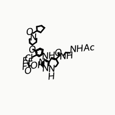 CC(=O)NCCNC(=O)C1=Cc2c(ncnc2Nc2ccc(OC3CCN(C(=O)C4CCCC4)CC3)c(Cl)c2)NCC1.O=C(O)C(F)(F)F